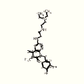 CCN(CC)CCNCCNc1nnc2c(n1)c(=O)n(C)c(=O)n2Cc1ccc(F)c(F)c1